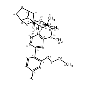 COCOc1cc(Cl)ccc1-c1cc2c(nn1)C(C1CC3CCC(C1)N3C(=O)OC(C)(C)C)=CCN2C